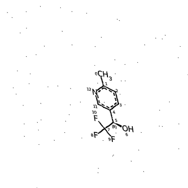 Cc1ccc([C@@H](O)C(F)(F)F)cn1